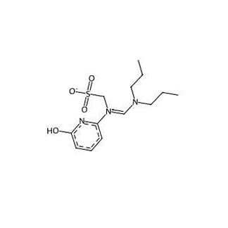 CCCN(C=[N+](CS(=O)(=O)[O-])c1cccc(O)n1)CCC